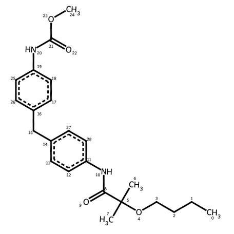 CCCCOC(C)(C)C(=O)Nc1ccc(Cc2ccc(NC(=O)OC)cc2)cc1